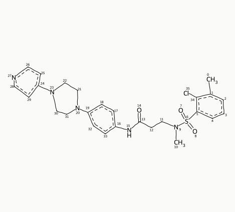 Cc1cccc(S(=O)(=O)N(C)CCC(=O)Nc2ccc(N3CCN(c4ccncc4)CC3)cc2)c1Cl